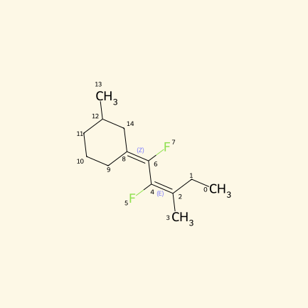 CC/C(C)=C(F)\C(F)=C1/CCCC(C)C1